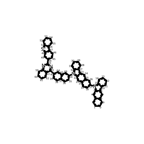 c1ccc2cc3c(cc2c1)c1ccccc1n3-c1ccc2cc3c(cc2c1)c1ccccc1n3-c1ccc2ccc(-c3nc(-c4ccc5c(c4)sc4ccccc45)nc4ccccc34)cc2c1